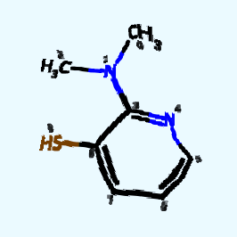 CN(C)c1ncccc1S